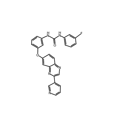 O=C(Nc1cccc(F)c1)Nc1cccc(Oc2ccc3ncc(-c4cccnc4)nc3c2)c1